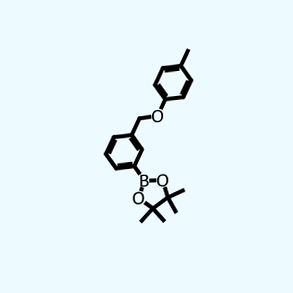 Cc1ccc(OCc2cccc(B3OC(C)(C)C(C)(C)O3)c2)cc1